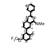 CNc1nc(-c2cccnc2)nc2ccc(-c3cc(OC(F)(F)F)ccc3F)cc12